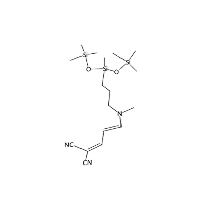 CN(/C=C/C=C(C#N)C#N)CCC[Si](C)(O[Si](C)(C)C)O[Si](C)(C)C